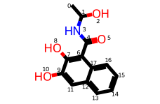 CC(O)NC(=O)c1c(O)c(O)cc2ccccc12